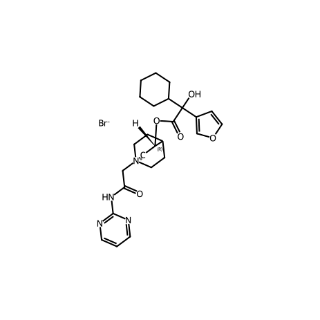 O=C(C[N+]12CCC(CC1)[C@@H](OC(=O)C(O)(c1ccoc1)C1CCCCC1)C2)Nc1ncccn1.[Br-]